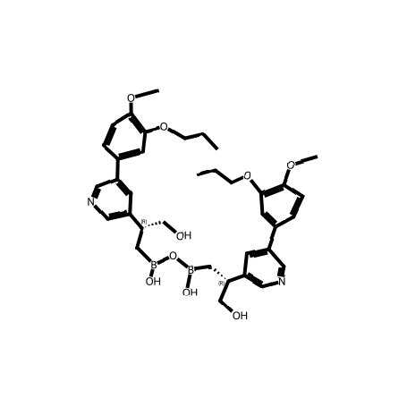 CCCOc1cc(-c2cncc([C@H](CO)CB(O)OB(O)C[C@@H](CO)c3cncc(-c4ccc(OC)c(OCCC)c4)c3)c2)ccc1OC